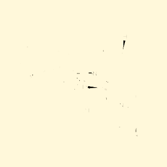 Cc1ccc(C[C@@H]2[C@@H]3CN[C@@]4(C(=O)NCc5ccccc5)[C@@H](C3)CN(CC(C)C)[C@@H]24)cc1